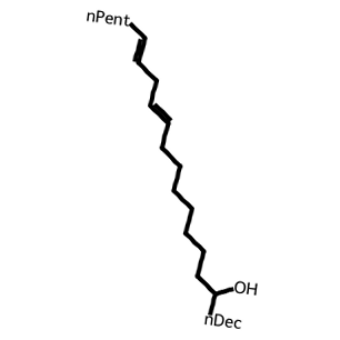 CCCCCC=CCC=CCCCCCCCC(O)CCCCCCCCCC